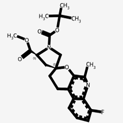 COC(=O)[C@@H]1C[C@@]2(CCc3c(c(C)nc4c(F)cccc34)O2)CN1C(=O)OC(C)(C)C